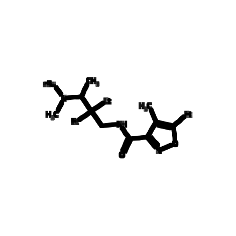 CCCCN(C)C(C)C(CC)(CC)CNC(=O)c1noc(CC)c1C